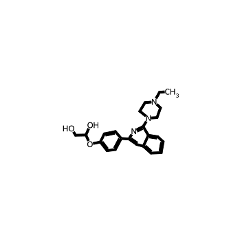 CCN1CCN(c2nc(-c3ccc(OC(O)CO)cc3)cc3ccccc23)CC1